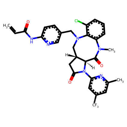 C=CC(=O)Nc1ccc(CN2C[C@H]3CC(=O)N(c4cc(C(F)(F)F)cc(C)n4)[C@@H]3C(=O)N(C)c3cccc(Cl)c32)cn1